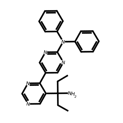 CCC(N)(CC)c1cncnc1-c1cnc(N(c2ccccc2)c2ccccc2)nc1